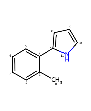 Cc1ccccc1-c1ccc[nH]1